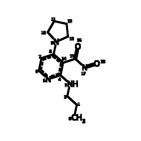 CCCNc1nccc(N2CCCC2)c1C(=O)N=O